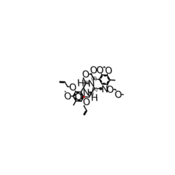 C=CCOC(=O)N1C2c3c(cc(C)c(OC)c3OCC=C)C[C@@H]1[C@H](C#N)N1[C@H](c3cc(OCOC)c(C)c4c3OCO4)C(=O)OC[C@@H]21